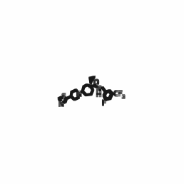 O=C(NCc1cc(F)cc(C(F)(F)F)c1)[C@]1(C2CC2)CCCC(N2CCC(c3cncs3)CC2)CC1